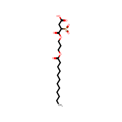 CCCCCCCCCCCC(=O)OCCCOC(=O)C(CC(=O)O)[SH](=O)=O